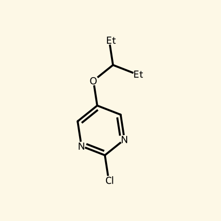 CCC(CC)Oc1cnc(Cl)nc1